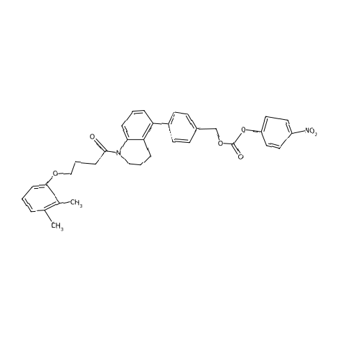 Cc1cccc(OCCCC(=O)N2CCCc3c(-c4ccc(COC(=O)Oc5ccc([N+](=O)[O-])cc5)cc4)cccc32)c1C